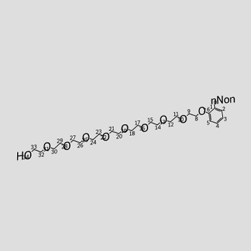 CCCCCCCCCc1ccccc1OCCOCCOCCOCCOCCOCCOCCOCCOCCO